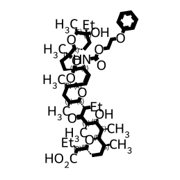 CCC(C(=O)[C@@H](C)[C@@H](O)[C@H](C)[C@@H]1O[C@@H]([C@@H](CC)C(=O)O)CC[C@@H]1C)[C@H]1O[C@]2(C=C[C@@H](NC(=O)OCCOc3ccccc3)[C@]3(CC[C@@](C)([C@H]4CC[C@](O)(CC)[C@H](C)O4)O3)O2)[C@H](C)C[C@@H]1C